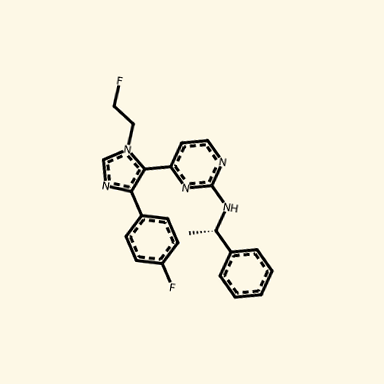 C[C@H](Nc1nccc(-c2c(-c3ccc(F)cc3)ncn2CCF)n1)c1ccccc1